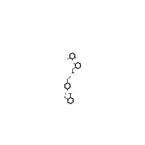 O=C(Cc1ccccc1Nc1c(Cl)cccc1Cl)OCCc1ccc(N2OCc3ccccc3C2=O)cc1